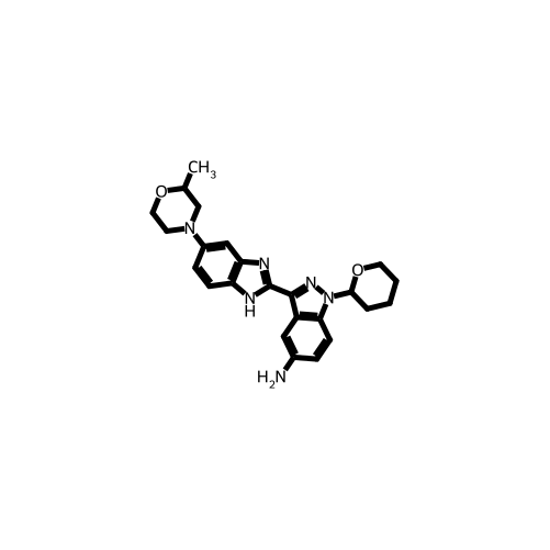 CC1CN(c2ccc3[nH]c(-c4nn(C5CCCCO5)c5ccc(N)cc45)nc3c2)CCO1